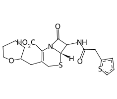 O=C(Cc1cccs1)NC1C(=O)N2C(C(=O)O)=C(CC3CCCCO3)CS[C@@H]12